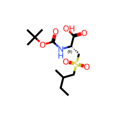 CCC(C)CS(=O)(=O)C[C@H](NC(=O)OC(C)(C)C)C(=O)O